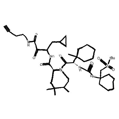 C#CCCNC(=O)C(=O)C(CC1CC1)NC(=O)[C@@H]1CC(C)(C)C(C)CN1C(=O)[C@@H](NC(=O)NC1(CS(=O)(=O)C(C)(C)C)CCCCC1)C1(C)CCCCC1